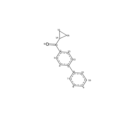 O=C(c1ccc(-c2ccccc2)cc1)C1CC1